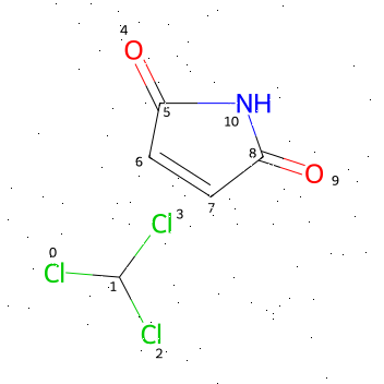 ClC(Cl)Cl.O=C1C=CC(=O)N1